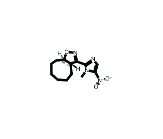 Cn1c([N+](=O)[O-])cnc1C1=NO[C@@H]2CCCCCC[C@@H]12